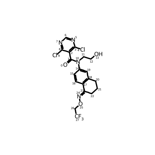 O=C(c1c(Cl)ncnc1Cl)N(CCO)c1ccc2c(c1)CCCC2=NOCC(F)(F)F